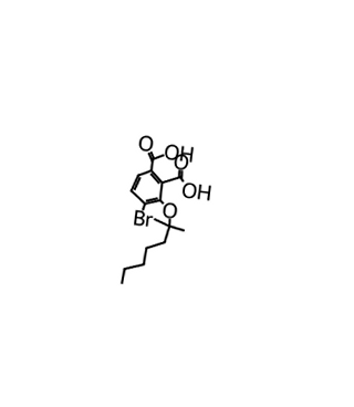 CCCCCC(C)(C)Oc1c(Br)ccc(C(=O)O)c1C(=O)O